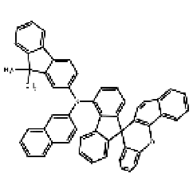 CC1(C)c2ccccc2-c2ccc(N(c3ccc4ccccc4c3)c3cccc4c3-c3ccccc3C43c4ccccc4Oc4c3ccc3ccccc43)cc21